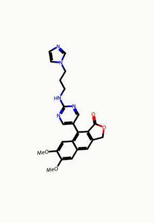 COc1cc2cc3c(c(-c4cnc(NCCCn5ccnc5)nc4)c2cc1OC)C(=O)OC3